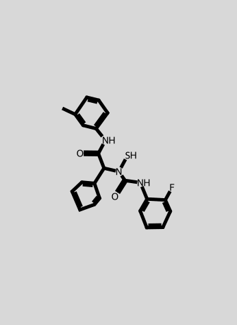 Cc1cccc(NC(=O)C(c2ccccc2)N(S)C(=O)Nc2ccccc2F)c1